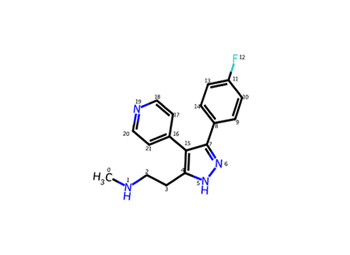 CNCCc1[nH]nc(-c2ccc(F)cc2)c1-c1ccncc1